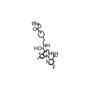 Cc1cc2nc(N[C@@H](C)c3cncc(F)c3)nc(C(O)NCCC3CCN(C(=O)OC(C)(C)C)CC3)c2s1